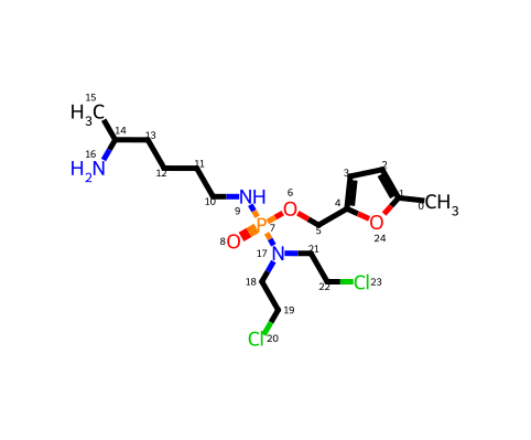 Cc1ccc(COP(=O)(NCCCCC(C)N)N(CCCl)CCCl)o1